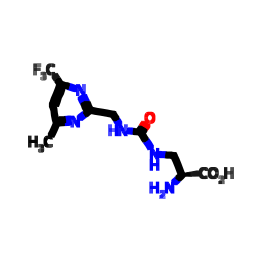 Cc1cc(C(F)(F)F)nc(CNC(=O)NC[C@H](N)C(=O)O)n1